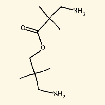 CC(C)(CN)COC(=O)C(C)(C)CN